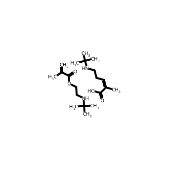 C=C(C)C(=O)OCCNC(C)(C)C.CC(=CCCNC(C)(C)C)C(=O)O